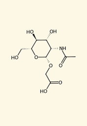 CC(=O)N[C@@H]1[C@H](OCC(=O)O)O[C@H](CO)[C@@H](O)[C@@H]1O